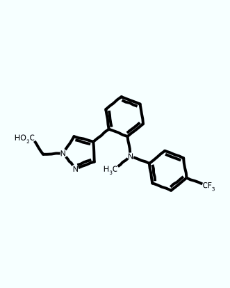 CN(c1ccc(C(F)(F)F)cc1)c1ccccc1-c1cnn(CC(=O)O)c1